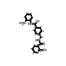 Nc1ccccc1NC(=O)c1ccc(CNC(=O)c2cccnc2S)cc1